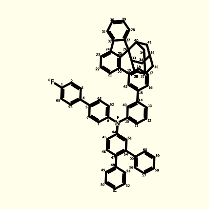 Fc1ccc(-c2ccc(N(c3cccc(-c4cccc(-c5cccc6c5C5(c7ccccc7-6)C6CC7CC(C6)CC5C7)c4)c3)c3ccc(-c4ccccc4)c(-c4ccccc4)c3)cc2)cc1